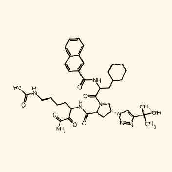 CC(C)(O)c1cn([C@@H]2C[C@@H](C(=O)NC(CCCCNC(=O)O)C(=O)C(N)=O)N(C(=O)C(CC3CCCCC3)NC(=O)c3ccc4ccccc4c3)C2)nn1